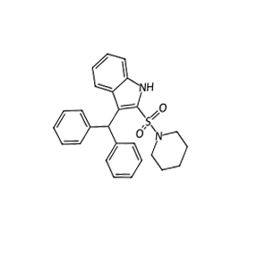 O=S(=O)(c1[nH]c2ccccc2c1C(c1ccccc1)c1ccccc1)N1CCCCC1